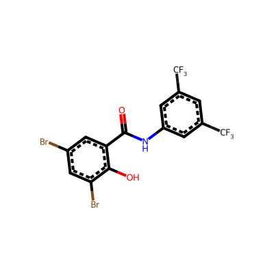 O=C(Nc1cc(C(F)(F)F)cc(C(F)(F)F)c1)c1cc(Br)cc(Br)c1O